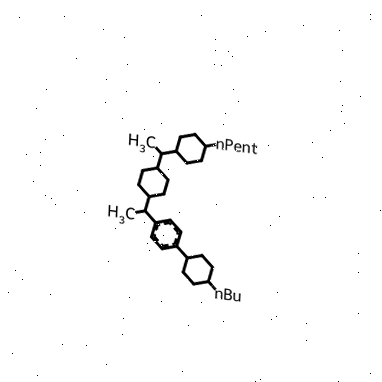 CCCCCC1CCC(C(C)C2CCC(C(C)c3ccc(C4CCC(CCCC)CC4)cc3)CC2)CC1